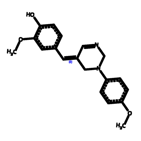 COc1ccc(N2CN=C/C(=C\c3ccc(O)c(OC)c3)C2)cc1